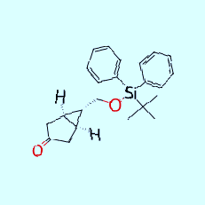 CC(C)(C)[Si](OC[C@@H]1[C@H]2CC(=O)C[C@@H]12)(c1ccccc1)c1ccccc1